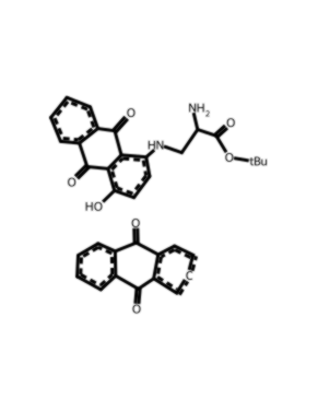 CC(C)(C)OC(=O)C(N)CNc1ccc(O)c2c1C(=O)c1ccccc1C2=O.O=C1c2ccccc2C(=O)c2ccccc21